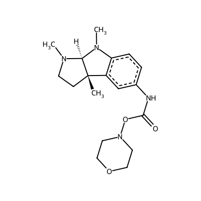 CN1CC[C@@]2(C)c3cc(NC(=O)ON4CCOCC4)ccc3N(C)[C@H]12